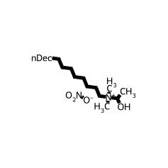 CCCCCCCCCCCCCCCCCC[N+](C)(C)C(C)O.O=[N+]([O-])[O-]